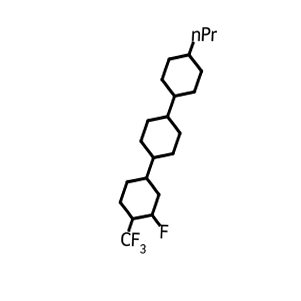 CCCC1CCC(C2CCC(C3CCC(C(F)(F)F)C(F)C3)CC2)CC1